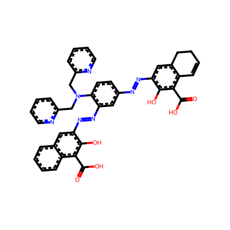 O=C(O)c1c(O)c(/N=N/c2ccc(N(Cc3ccccn3)Cc3ccccn3)c(/N=N/c3cc4ccccc4c(C(=O)O)c3O)c2)cc2c1C=CCC2